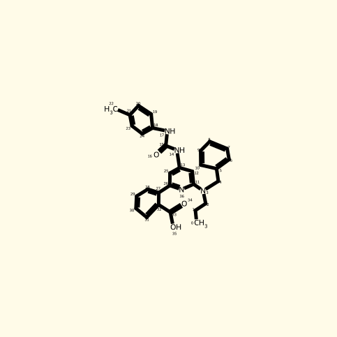 CCCN(Cc1ccccc1)c1cc(NC(=O)Nc2ccc(C)cc2)cc(-c2ccccc2C(=O)O)n1